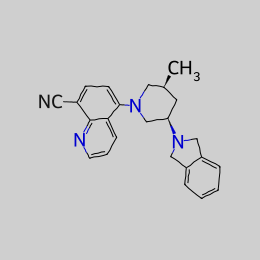 C[C@H]1C[C@@H](N2Cc3ccccc3C2)CN(c2ccc(C#N)c3ncccc23)C1